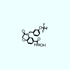 O=C(NO)c1ccc2c(c1)N(Cc1cccc(OC(F)(F)F)c1)C(=O)CO2